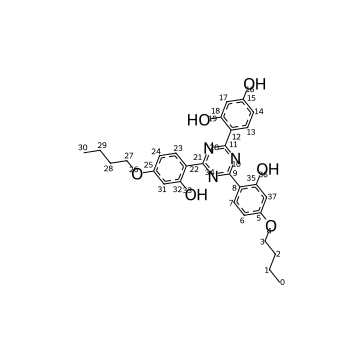 CCCCOc1ccc(-c2nc(-c3ccc(O)cc3O)nc(-c3ccc(OCCCC)cc3O)n2)c(O)c1